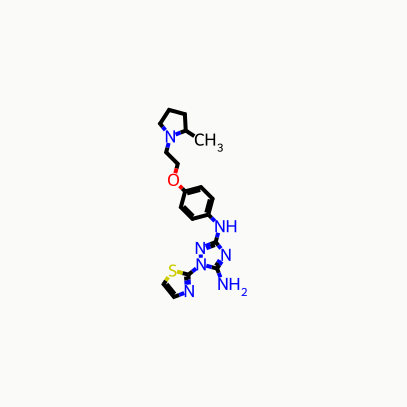 CC1CCCN1CCOc1ccc(Nc2nc(N)n(-c3nccs3)n2)cc1